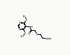 CCCCCCCCCCCCSCC(=O)Nc1c(SCC)ncnc1SCC